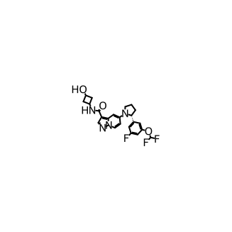 O=C(NC1CC(O)C1)c1cnn2ccc(N3CCC[C@@H]3c3cc(F)cc(OC(F)F)c3)cc12